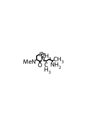 CN[C@@H](CC(C)C)C(=O)N(C)[C@H](C)CC(C)N